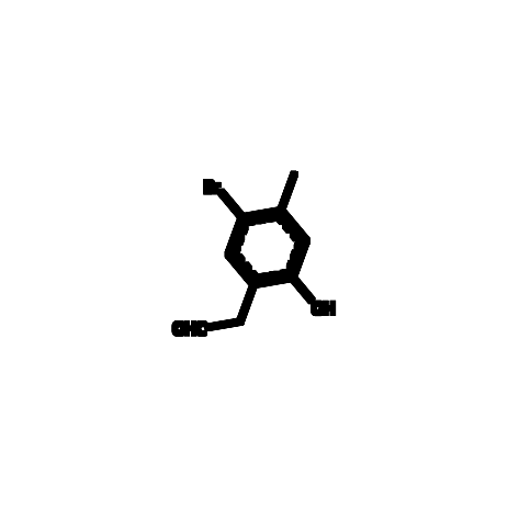 Cc1cc(O)c(CC=O)cc1Br